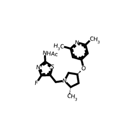 CC(=O)Nc1nc(F)c(CN2C[C@H](Oc3cc(C)nc(C)c3)C[C@@H]2C)s1